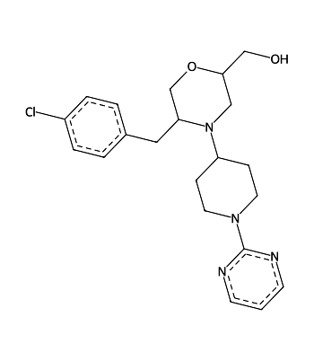 OCC1CN(C2CCN(c3ncccn3)CC2)C(Cc2ccc(Cl)cc2)CO1